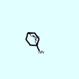 CCCC12CCC(CC1)CNC2